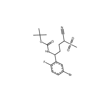 CC(C)(C)OC(=O)NC(CCC(C#N)S(C)(=O)=O)c1cc(Br)ccc1F